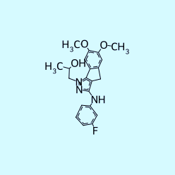 COc1cc2c(cc1OC)-c1c(c(Nc3cccc(F)c3)nn1CC(C)O)C2